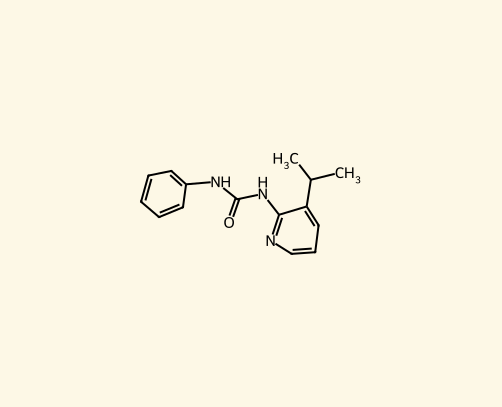 CC(C)c1cccnc1NC(=O)Nc1ccccc1